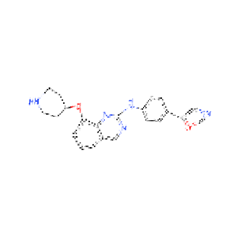 c1cc(OC2CCNCC2)c2nc(Nc3ccc(-c4cnco4)cc3)ncc2c1